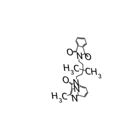 Cc1nc2cccc3n(CCC(C)(C)CCN4C(=O)c5ccccc5C4=O)c(=O)c1n23